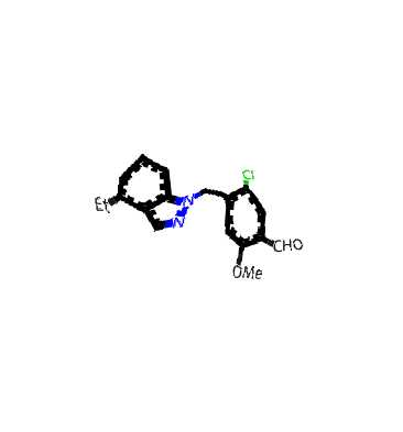 CCc1cccc2c1cnn2Cc1cc(OC)c(C=O)cc1Cl